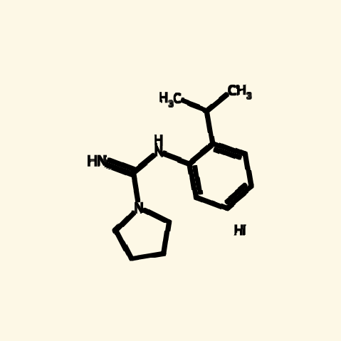 CC(C)c1ccccc1NC(=N)N1CCCC1.I